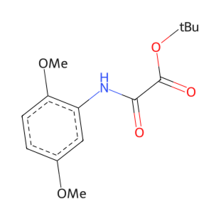 COc1ccc(OC)c(NC(=O)C(=O)OC(C)(C)C)c1